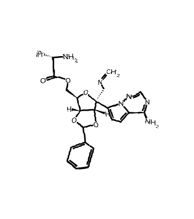 C=NC[C@@]1(c2ccc3c(N)ncnn23)O[C@H](COC(=O)[C@@H](N)C(C)C)[C@H]2OC(c3ccccc3)O[C@H]21